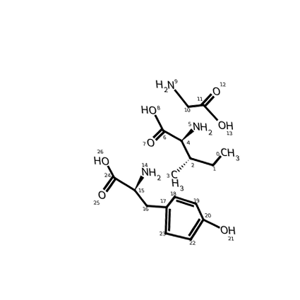 CC[C@H](C)[C@H](N)C(=O)O.NCC(=O)O.N[C@@H](Cc1ccc(O)cc1)C(=O)O